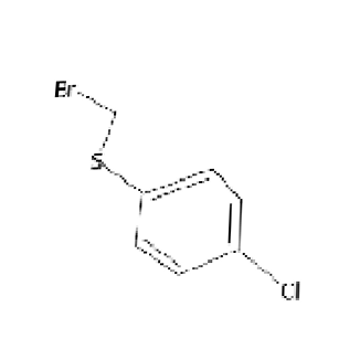 Clc1ccc(SCBr)cc1